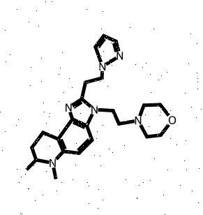 CC1CCc2c(ccc3c2nc(CCn2cccn2)n3CCN2CCOCC2)N1C